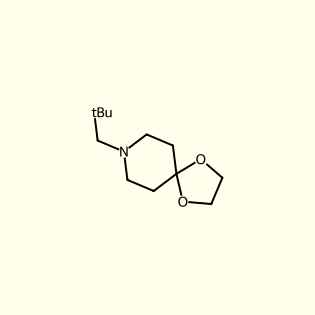 CC(C)(C)CN1CCC2(CC1)OCCO2